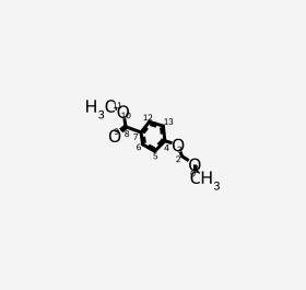 COCOc1ccc(C(=O)OC)cc1